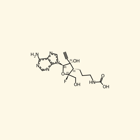 C#C[C@]1(O)[C@H](n2cnc3c(N)ncnc32)O[C@@](F)(CO)[C@H]1CCCNC(=O)O